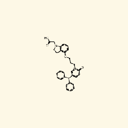 O=C(O)CN1CCc2c(OCCCn3cc(C(c4ccccc4)c4ccccc4)ccc3=O)cccc21